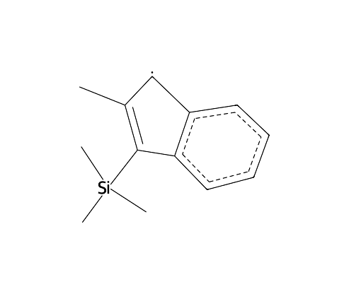 CC1=C([Si](C)(C)C)c2ccccc2[CH]1